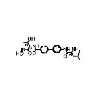 CC(C)C[C@H](N)C(=O)Nc1ccc(-c2ccc(C(=O)N[C@H](C(=O)NO)[C@@H](C)O)cc2)cc1